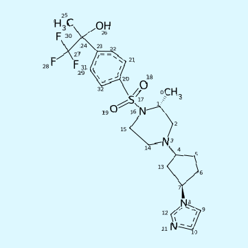 C[C@@H]1CN(C2CC[C@@H](n3ccnc3)C2)CCN1S(=O)(=O)c1ccc(C(C)(O)C(F)(F)F)cc1